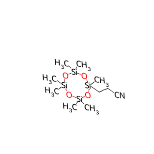 C[Si]1(C)O[Si](C)(C)O[Si](C)(CCC#N)O[Si](C)(C)O1